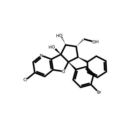 OC[C@H]1[C@@H](O)[C@@]2(O)c3ncc(Cl)cc3O[C@@]2(c2ccc(Br)cc2)[C@@H]1C1C=CC=CC1